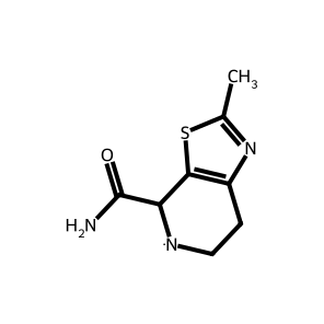 Cc1nc2c(s1)C(C(N)=O)[N]CC2